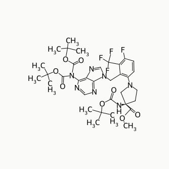 COC(=O)[C@@]1(NC(=O)OC(C)(C)C)CCN(c2ccc(F)c(C(F)(F)F)c2Cn2cnc3c(N(C(=O)OC(C)(C)C)C(=O)OC(C)(C)C)ncnc32)C1